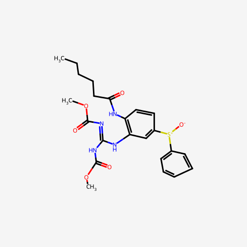 CCCCCC(=O)Nc1ccc([S+]([O-])c2ccccc2)cc1NC(=NC(=O)OC)NC(=O)OC